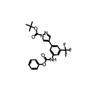 CC(C)(C)OC(=O)n1cc(-c2cc(NC(=O)Oc3ccccc3)cc(C(F)(F)F)c2)cn1